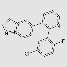 Fc1ccc(Cl)cc1-c1ncccc1-c1ccn2nccc2c1